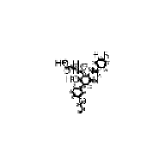 CCCOc1cccc(-c2cc3ncc(-c4ccc(F)c(F)c4)nc3c(C(=O)NCC(=O)O)c2O)c1